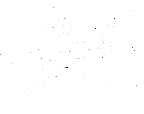 N#CCC(=O)N1CCC[C@@H](Oc2nc(-c3cnn4ccccc34)nc(-c3ccnc(CO)c3)c2F)C1